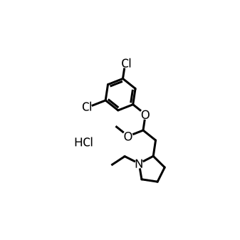 CCN1CCCC1CC(OC)Oc1cc(Cl)cc(Cl)c1.Cl